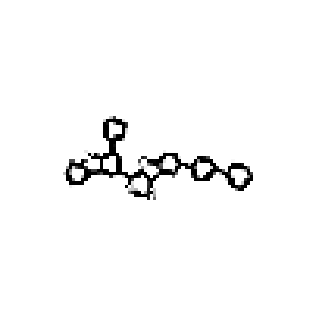 c1ccc(-c2ccc(-c3ccc4oc5c(-c6cc(-c7ccccc7)c7sc8ccccc8c7c6)ncnc5c4c3)cc2)cc1